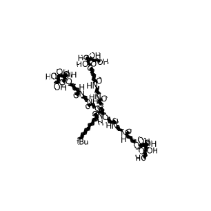 CC(C)(C)CCCCCCCCCCC(=O)NC(COCCC(=O)NCCCNC(=O)CCCCOC1OC(CO)C(O)C(O)C1O)(COCCC(=O)NCCCNC(=O)CCCCOC1OC(CO)C(O)C(O)C1O)COCCC(=O)NCCCNC(=O)CCCCOC1OC(CO)C(O)C(O)C1O